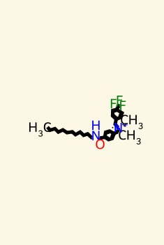 CCCCCCCCCCCCNC(=O)c1ccc(C(C)[N+](CC)Cc2ccc(C(F)(F)F)cc2)cc1